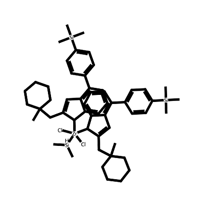 C[SiH](C)[Zr]([Cl])([Cl])([CH]1C(CC2(C)CCCCC2)=Cc2c(-c3ccc([Si](C)(C)C)cc3)cccc21)[CH]1C(CC2(C)CCCCC2)=Cc2c(-c3ccc([Si](C)(C)C)cc3)cccc21